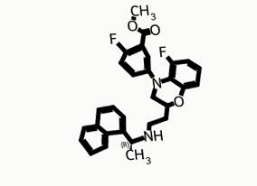 COC(=O)c1cc(N2CC(CCN[C@H](C)c3cccc4ccccc34)Oc3cccc(F)c32)ccc1F